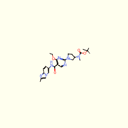 CCOc1nc(N2CCC(N(C)C(=O)OC(C)(C)C)C2)ncc1C(=O)Nc1ccc2nc(C)cn2c1